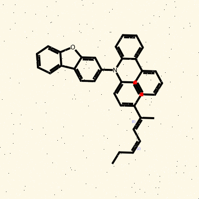 CC/C=C\C=C(/C)c1ccc(N(c2ccc3c(c2)oc2ccccc23)c2ccccc2-c2ccccc2)cc1